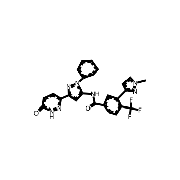 Cn1ccc(-c2cc(C(=O)Nc3cc(-c4ccc(=O)[nH]n4)nn3-c3ccccc3)ccc2C(F)(F)F)n1